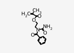 C=C(C)C(=O)OCCN(C(N)=O)C(=O)c1ccccc1